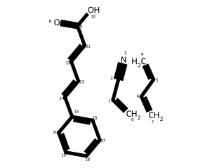 C=CC#N.C=CC=C.O=C(O)C=CC=Cc1ccccc1